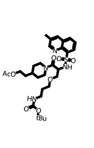 CC(=O)OCCC1CCN(C(=O)C(COCCCNC(=O)OC(C)(C)C)NS(=O)(=O)c2cccc3cc(C)cnc23)CC1